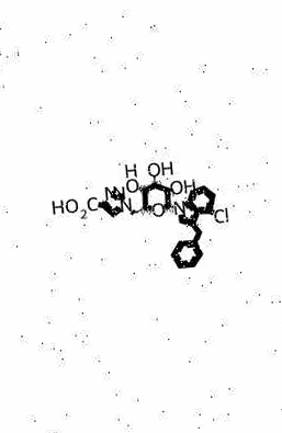 O=C(O)c1cn(C[C@H]2O[C@@H](n3cc(Cc4ccccc4)c4c(Cl)cccc43)[C@H](O)[C@@H](O)[C@@H]2O)nn1